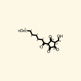 CCCCCCCCCCCCCCCC(=O)C1C(=O)C(=O)C(CO)C1=O